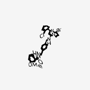 COc1cccc(C(=O)NCc2ccc(CNc3cc(-c4ccccc4Cl)nc4c(Br)ccn34)cc2)c1